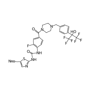 N#Cc1cnc(NC(=O)Nc2ccc(C(=O)N3CCN(Cc4ccc(C(O)(C(F)(F)F)C(F)(F)F)cc4)CC3)cc2F)s1